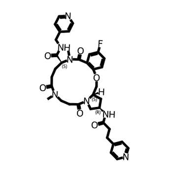 CN1CCC(=O)N2C[C@H](NC(=O)CCc3ccncc3)C[C@H]2COc2ccc(F)cc2C(=O)N(C)[C@H](C(=O)NCc2ccncc2)CCC1=O